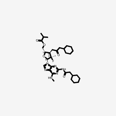 CNc1nc(NC(=O)CC2CCCCC2)nc2c1ncn2[C@@H]1O[C@H](COC(=O)C(C)C)[C@@H](CC(=O)CC2CCCCC2)[C@@]1(C)F